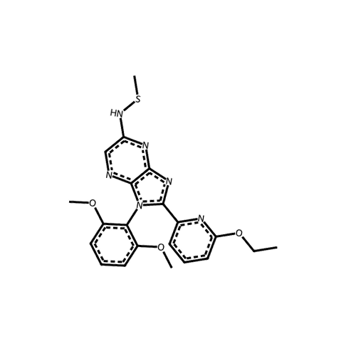 CCOc1cccc(-c2nc3nc(NSC)cnc3n2-c2c(OC)cccc2OC)n1